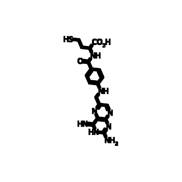 N=c1[nH]c(N)nc2ncc(CNc3ccc(C(=O)NC(CCS)C(=O)O)cc3)nc12